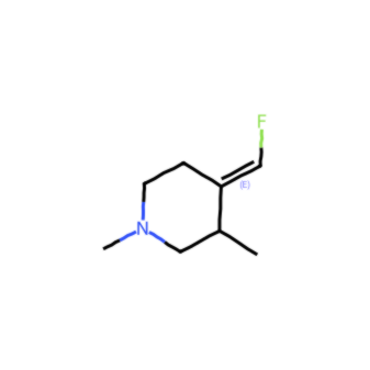 CC1CN(C)CC/C1=C\F